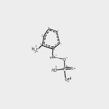 Cc1ccccc1NOP(=O)(O)O